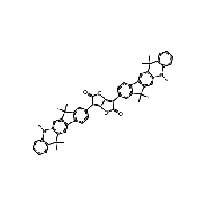 CN1c2ccccc2C(C)(C)c2cc3c(cc21)C(C)(C)c1cc(C2=C4OC(=O)C(c5ccc6c(c5)C(C)(C)c5cc7c(cc5-6)C(C)(C)c5ccccc5N7C)=C4OC2=O)ccc1-3